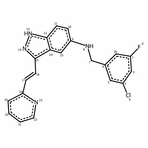 Fc1cc(Cl)cc(CNc2ccc3[nH]nc(C=Cc4ccccn4)c3c2)c1